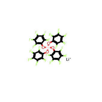 Fc1c(F)c(F)c(O[B-](Oc2c(F)c(F)c(F)c(F)c2F)(Oc2c(F)c(F)c(F)c(F)c2F)Oc2c(F)c(F)c(F)c(F)c2F)c(F)c1F.[Li+]